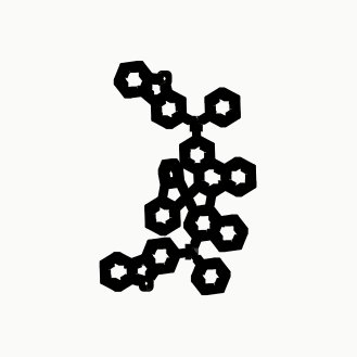 c1ccc(N(c2ccc3c(c2)oc2ccccc23)c2ccc3c4c(c5ccccc5c3c2)-c2c(cc(N(c3ccccc3)c3ccc5c(c3)oc3ccccc35)c3ccccc23)C42c3ccccc3-c3ccccc32)cc1